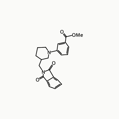 COC(=O)c1cccc(N2CCCC(CN3C(=O)c4ccccc4C3=O)C2)c1